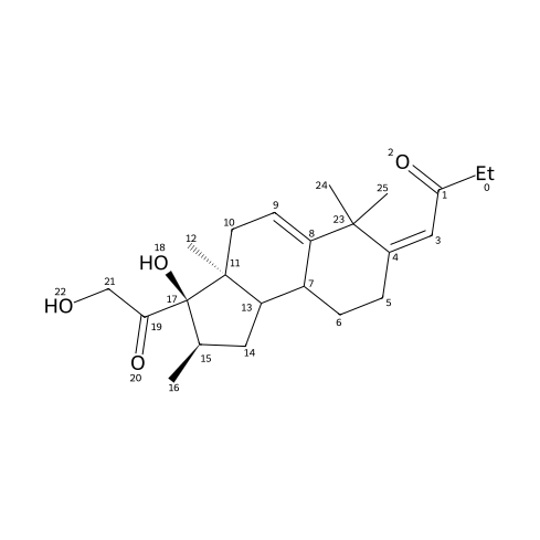 CCC(=O)/C=C1/CCC2C(=CC[C@@]3(C)C2C[C@@H](C)[C@]3(O)C(=O)CO)C1(C)C